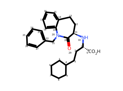 O=C(O)[C@H](CCC1CCCCC1)N[C@@H]1CCc2ccccc2N(Cc2ccccc2)C1=O